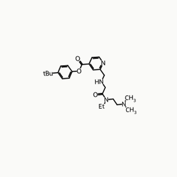 CCN(CCN(C)C)C(=O)CNCc1cc(C(=O)Oc2ccc(C(C)(C)C)cc2)ccn1